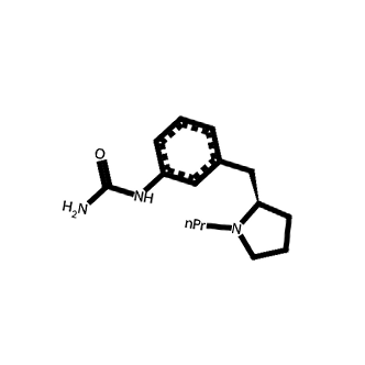 CCCN1CCC[C@@H]1Cc1cccc(NC(N)=O)c1